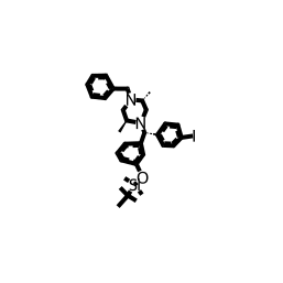 C[C@@H]1CN([C@H](c2ccc(I)cc2)c2cccc(O[Si](C)(C)C(C)(C)C)c2)[C@@H](C)CN1Cc1ccccc1